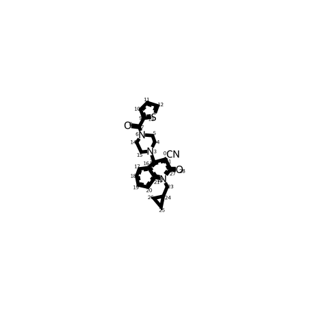 N#Cc1c(N2CCN(C(=O)c3cccs3)CC2)c2ccccc2n(CC2CC2)c1=O